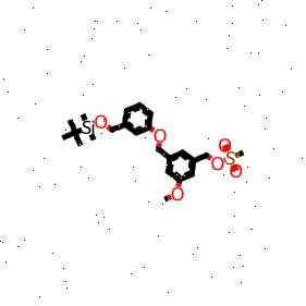 COc1cc(COc2cccc(CO[Si](C)(C)C(C)(C)C)c2)cc(COS(C)(=O)=O)c1